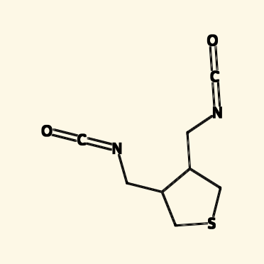 O=C=NCC1CSCC1CN=C=O